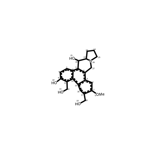 COc1cc2c3c(c4ccc(O)c(CO)c4c2cc1CO)C(O)C1CCCN1C3